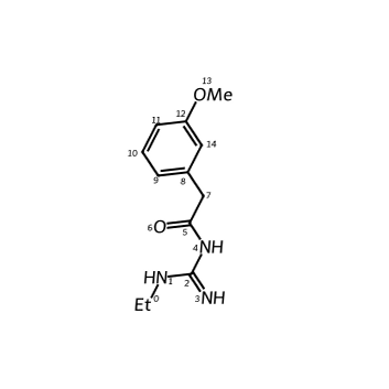 CCNC(=N)NC(=O)Cc1cccc(OC)c1